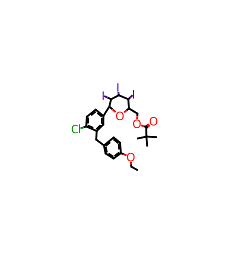 CCOc1ccc(Cc2cc(C3OC(COC(=O)C(C)(C)C)C(I)C(I)C3I)ccc2Cl)cc1